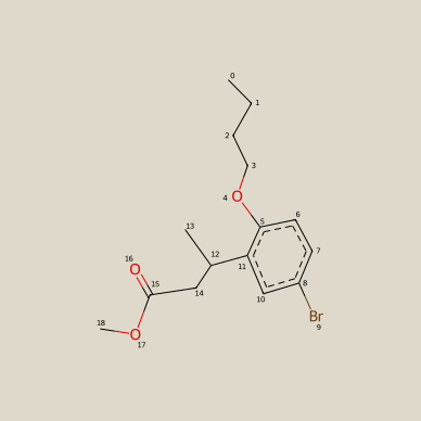 CCCCOc1ccc(Br)cc1C(C)CC(=O)OC